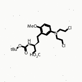 COc1ccc(N(CCCl)CCCl)cc1CC[C@@H](CC(=O)O)NC(=O)OC(C)(C)C